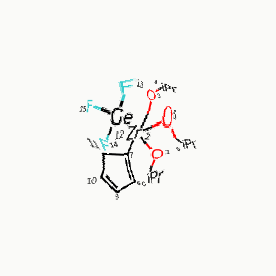 CC(C)[O][Zr]([O]C(C)C)([O]C(C)C)([C]1=CC=CC1)[Ge]([F])([F])[F]